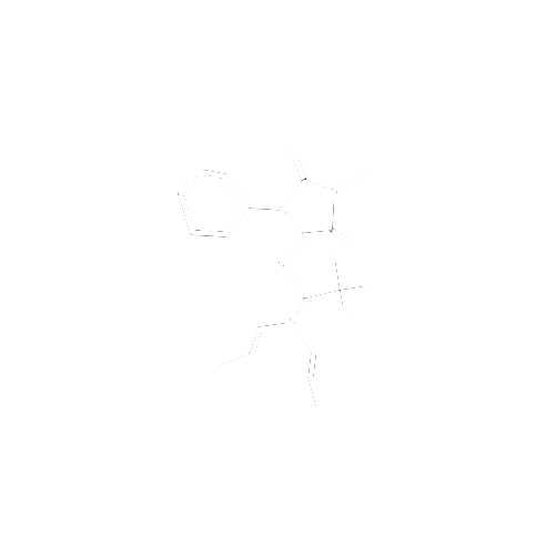 CC=CN(C=CC)C(N=C1C(=O)N(C)C(=O)N1c1ccccc1)C(Cl)(Cl)Cl